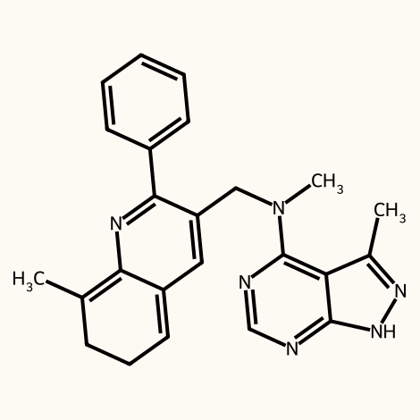 CC1=c2nc(-c3ccccc3)c(CN(C)c3ncnc4[nH]nc(C)c34)cc2=CCC1